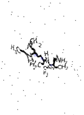 C=C/C(CN)=C(\NC)N/C(C=C)=C/C=C(\CN=C)NCC